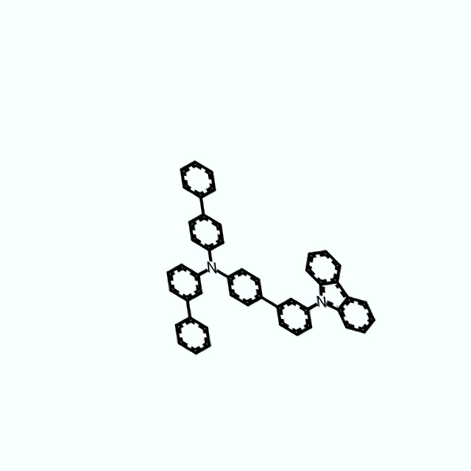 c1ccc(-c2ccc(N(c3ccc(-c4cccc(-n5c6ccccc6c6ccccc65)c4)cc3)c3cccc(-c4ccccc4)c3)cc2)cc1